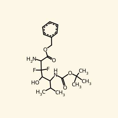 CC(C)C(NC(=O)OC(C)(C)C)C(O)C(F)(F)C(N)C(=O)OCc1ccccc1